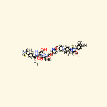 Cc1ncsc1-c1ccc([C@H](C)NC(=O)[C@@H]2C[C@@H](O)CN2C(=O)C(NC(=O)COc2ccc(OC3CCN(c4ccc(N5C(=S)N(c6ccc(C#N)c(C(F)(F)F)c6)C(=O)C5(C)C)cc4)CC3)nc2)C(C)(C)C)cc1